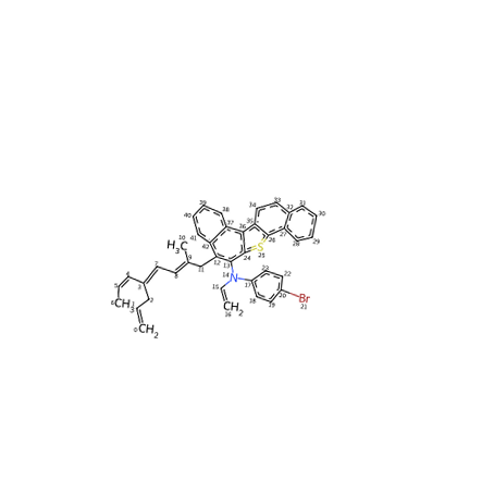 C=CCC(/C=C\C)=C\C=C(/C)Cc1c(N(C=C)c2ccc(Br)cc2)c2sc3c4ccccc4ccc3c2c2ccccc12